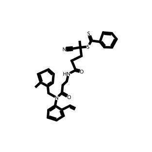 C=Cc1ccccc1N(Cc1ccccc1C)C(=O)CCNC(=O)CCC(C)(C#N)SC(=S)c1ccccc1